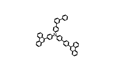 c1ccc(-c2cccc(-c3ccc(N(c4ccc(-c5ccc(-c6cc7ccccc7c7ccccc67)cc5)cc4)c4ccc(-c5cc6ccccc6c6ccccc56)cc4)cc3)c2)cc1